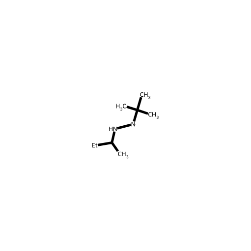 CCC(C)N[N]C(C)(C)C